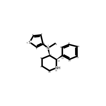 CN(c1ccsc1)[C@@H]1CCCN[C@@H]1c1ccccc1